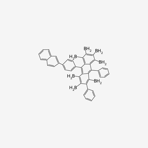 Bc1c(B)c(B)c2c(-c3ccccc3)c3c(B)c(-c4ccccc4)c(B)c(B)c3c(-c3ccc(-c4ccc5ccccc5c4)cc3)c2c1B